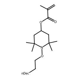 C=C(C)C(=O)OC1CC(C)(C)N(OCCCCCCCCCCCC)C(C)(C)C1